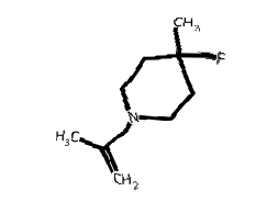 C=C(C)N1CCC(C)(F)CC1